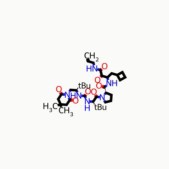 C=CCNC(=O)C(=O)C(CC1CCC1)NC(=O)[C@@H]1CCCN1C(=O)[C@@H](NC(=O)N[C@H](CN1C(=O)CC(C)(C)CC1=O)C(C)(C)C)C(C)(C)C